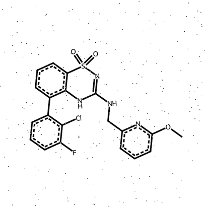 COc1cccc(CNC2=NS(=O)(=O)c3cccc(-c4cccc(F)c4Cl)c3N2)n1